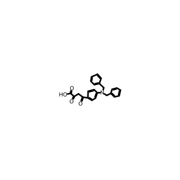 O=C(O)C(=O)CC(=O)c1ccc(N(Cc2ccccc2)Cc2ccccc2)cc1